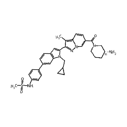 Cc1c(-c2cc3ccc(-c4ccc(NS(C)(=O)=O)cc4)cc3n2CC2CC2)nn2cc(C(=O)N3CCC[C@@H](N)C3)ccc12